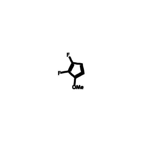 COC1=C=CC(F)=C1F